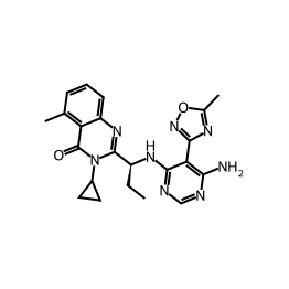 CC[C@H](Nc1ncnc(N)c1-c1noc(C)n1)c1nc2cccc(C)c2c(=O)n1C1CC1